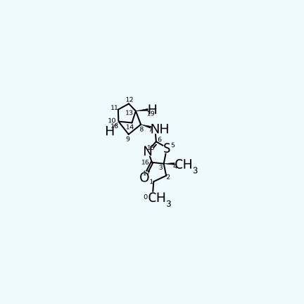 CCC[C@@]1(C)SC(N[C@H]2C[C@H]3CC[C@H]2C3)=NC1=O